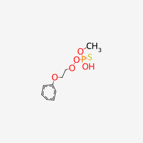 COP(O)(=S)OOCCOc1ccccc1